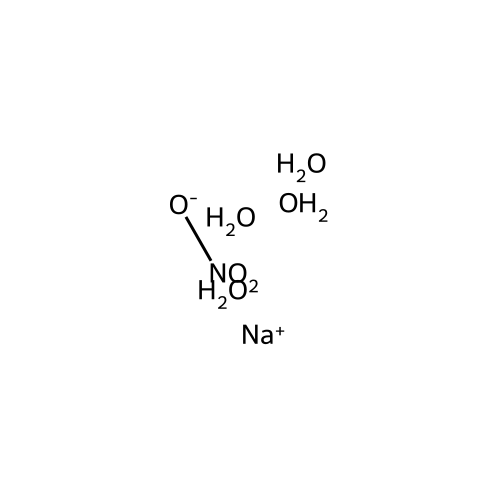 O.O.O.O.O=[N+]([O-])[O-].[Na+]